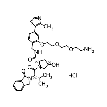 Cc1ncsc1-c1ccc(CNC(=O)[C@@H]2C[C@@H](O)CN2C(=O)[C@H](C(C)C)N2Cc3ccccc3C2=O)c(OCCOCCOCCN)c1.Cl